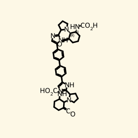 O=C=C1CCCC(NC(=O)O)C1N1CCCC1c1ncc(-c2ccc(-c3ccc(-c4cnc(C5CCCN5[C@@H]5C(=C=O)CCC[C@H]5NC(=O)O)[nH]4)cc3)cc2)[nH]1